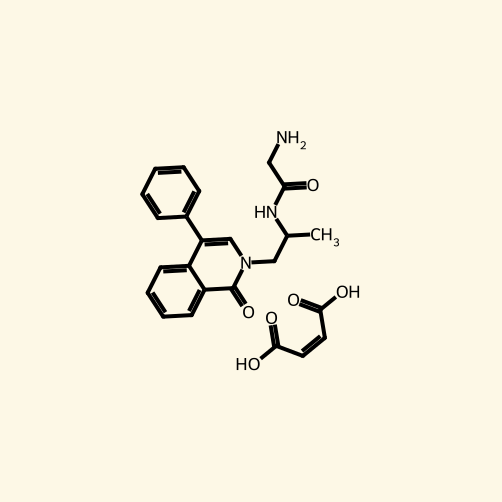 CC(Cn1cc(-c2ccccc2)c2ccccc2c1=O)NC(=O)CN.O=C(O)/C=C\C(=O)O